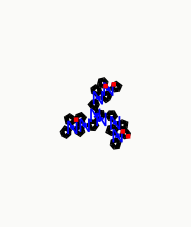 c1ccc(N(c2ccccc2)c2cccc3c2c2ccccc2n3-c2cccc(-c3cc(-c4cccc(-n5c6ccccc6c6c(N(c7ccccc7)c7ccccc7)cccc65)c4)nc(-c4cccc(-n5c6ccccc6c6c(N(c7ccccc7)c7ccccc7)cccc65)c4)n3)c2)cc1